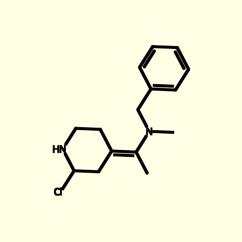 CC(=C1CCNC(Cl)C1)N(C)Cc1ccccc1